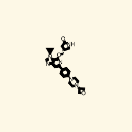 O=C1C[C@@H](COc2nc(-c3ccc(N4CCN(C5COC5)CC4)cc3)cc3ncn(C4CC4)c23)CN1